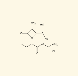 C=C(C)C(C(=O)OCC(Cl)(Cl)Cl)N1C(=O)C(N)C1[S][Hg].Cl.Cl